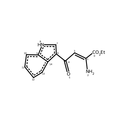 CCOC(=O)C(N)=CC(=O)c1c[nH]c2ccccc12